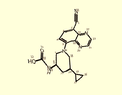 N#Cc1ccc(N2CC(NC(=O)O)CC(C3CC3)C2)c2nccnc12